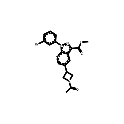 COC(=O)c1nn(-c2cccc(Br)c2)c2ncc(C3CN(C(C)=O)C3)cc12